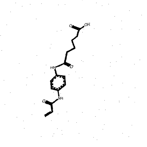 C=CC(=O)Nc1ccc(NC(=O)CCCCC(=O)O)cc1